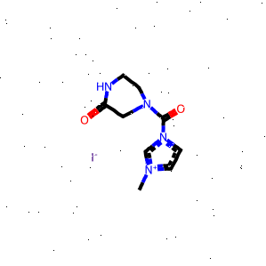 C[n+]1ccn(C(=O)N2CCNC(=O)C2)c1.[I-]